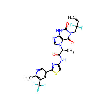 C=CC(F)(F)Cn1c(=O)[nH]c2ncn([C@@H](C)C(=O)Nc3csc(-c4cnc(C)c(C(F)(F)F)c4)n3)c2c1=O